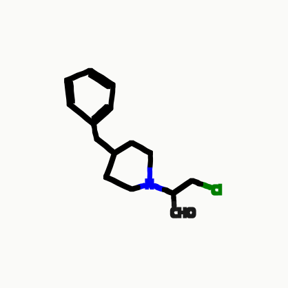 O=CC(CCl)N1CCC(Cc2ccccc2)CC1